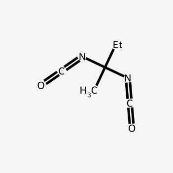 CCC(C)(N=C=O)N=C=O